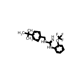 CC(C)(C)c1ccc(CNC(=N)Nc2ccccc2OC(F)(F)F)cc1